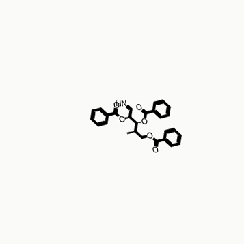 C[C@H](COC(=O)c1ccccc1)[C@@H](OC(=O)c1ccccc1)[C@H](C=N)OC(=O)c1ccccc1